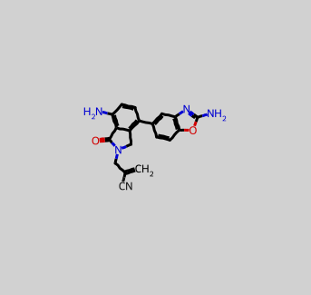 C=C(C#N)CN1Cc2c(-c3ccc4oc(N)nc4c3)ccc(N)c2C1=O